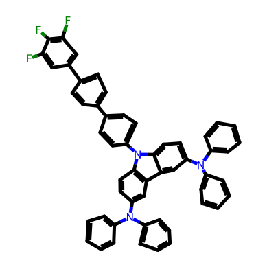 Fc1cc(-c2ccc(-c3ccc(-n4c5ccc(N(c6ccccc6)c6ccccc6)cc5c5cc(N(c6ccccc6)c6ccccc6)ccc54)cc3)cc2)cc(F)c1F